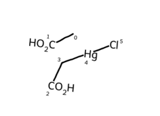 CC(=O)O.O=C(O)[CH2][Hg][Cl]